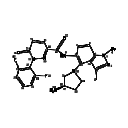 Cc1nn(C(C)C)c2ccc(NC(=O)c3ccc(=O)n(-c4c(F)cccc4F)n3)c(N3CC[C@@H](N)C3)c12